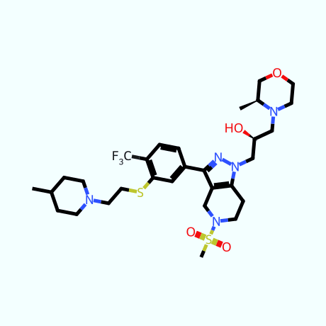 CC1CCN(CCSc2cc(-c3nn(C[C@@H](O)CN4CCOC[C@@H]4C)c4c3CN(S(C)(=O)=O)CC4)ccc2C(F)(F)F)CC1